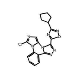 Clc1ncc2n1c1ccccc1c1nnc(-c3nc(C4CCCC4)no3)n12